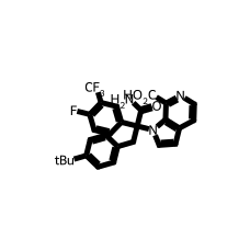 CC(C)(C)c1ccc(CC(C(N)=O)(c2ccc(F)c(C(F)(F)F)c2)n2ccc3ccnc(C(=O)O)c32)cc1